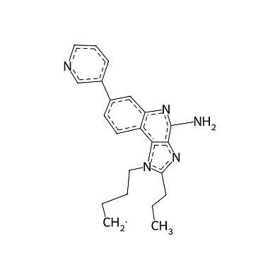 [CH2]CCCn1c(CCC)nc2c(N)nc3cc(-c4cccnc4)ccc3c21